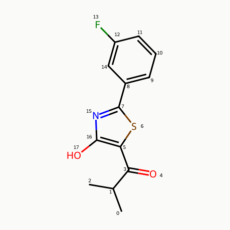 CC(C)C(=O)c1sc(-c2cccc(F)c2)nc1O